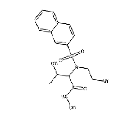 CC(C)CCN(C(C(=O)NO)C(C)O)S(=O)(=O)c1ccc2ccccc2c1